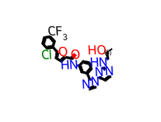 C[C@H](O)CNc1nccc(-n2ccnc2-c2cccc(NC(=O)c3ccc(-c4cc(C(F)(F)F)ccc4Cl)o3)c2)n1